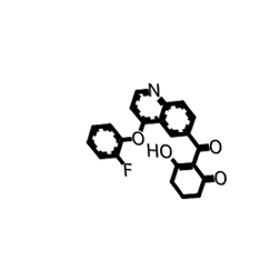 O=C1CCCC(O)=C1C(=O)c1ccc2nccc(Oc3ccccc3F)c2c1